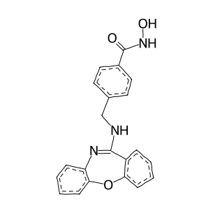 O=C(NO)c1ccc(CNC2=Nc3ccccc3Oc3ccccc32)cc1